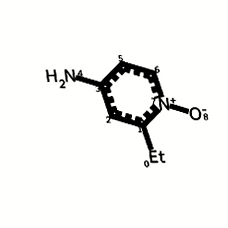 CCc1cc(N)cc[n+]1[O-]